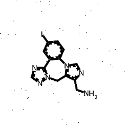 NCc1ncn2c1Cn1ncnc1-c1cc(I)ccc1-2